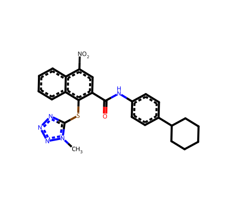 Cn1nnnc1Sc1c(C(=O)Nc2ccc(C3CCCCC3)cc2)cc([N+](=O)[O-])c2ccccc12